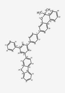 CC1(C)Oc2cc(-c3ccc(-c4nc(-c5ccccc5)nc(-c5ccc6c(c5)sc5ccccc56)n4)cc3)ccc2-c2ccccc21